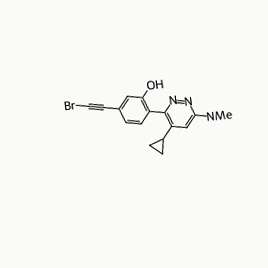 CNc1cc(C2CC2)c(-c2ccc(C#CBr)cc2O)nn1